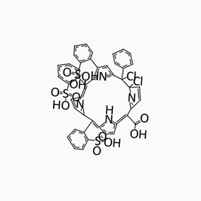 O=C(O)C1=c2ccc([nH]2)=C(c2ccccc2S(=O)(=O)O)C2=NC(=C(c3ccccc3S(=O)(=O)O)c3[nH]c(cc3-c3ccccc3S(=O)(=O)O)C(Cl)(c3ccccc3)C3(Cl)C=CC1=N3)C=C2